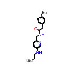 CC(C)(C)CCNc1ccc(CNC(=O)Cc2ccc(C(C)(C)C)cc2)nc1